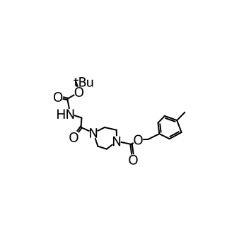 Cc1ccc(COC(=O)N2CCN(C(=O)CNC(=O)OC(C)(C)C)CC2)cc1